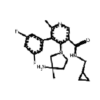 Cc1ncc(C(=O)NCC2CC2)c(N2CC[C@](C)(N)C2)c1-c1cc(F)cc(F)c1